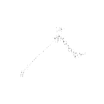 CC[C@@]1(O)C(=O)OCc2c1cc(C1=Nc3ccc(OCc4ccc(NC(=O)[C@H](CCCNC(N)=O)NC(=O)[C@@H](NC(=O)CCOCCOCCOCCOCCOCCOCCOCCOCCOCCN=[N+]=[N-])C(C)C)cc4)cc3CC1)n(C)c2=O